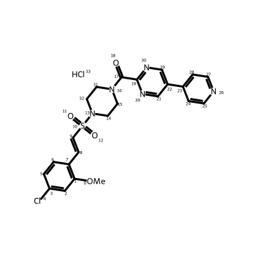 COc1cc(Cl)ccc1C=CS(=O)(=O)N1CCN(C(=O)c2ncc(-c3ccncc3)cn2)CC1.Cl